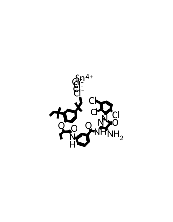 CCC(Oc1ccc(C(C)(C)CC)cc1C(C)(C)CC)C(=O)Nc1cccc(C(=O)NC2=NN(c3c(Cl)ccc(Cl)c3Cl)C(=O)C2N)c1.[Cl-].[Cl-].[Cl-].[Cl-].[Sn+4]